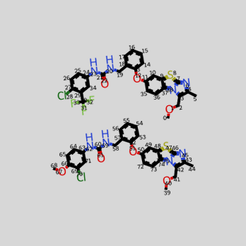 COCc1c(C)nc2sc3cc(Oc4ccccc4CNC(=O)Nc4ccc(Cl)c(C(F)(F)F)c4)ccc3n12.COCc1c(C)nc2sc3cc(Oc4ccccc4CNC(=O)Nc4ccc(OC)c(Cl)c4)ccc3n12